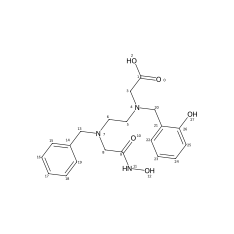 O=C(O)CN(CCN(CC(=O)NO)Cc1ccccc1)Cc1ccccc1O